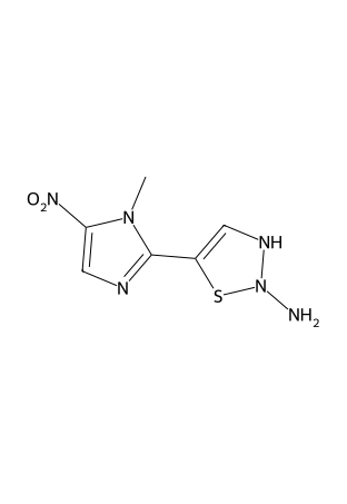 Cn1c([N+](=O)[O-])cnc1C1=CNN(N)S1